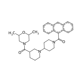 CC1CN(C(=O)C2CCCN(C3CCN(C(=O)c4c5ccccc5cc5ccccc45)CC3)C2)CC(C)O1